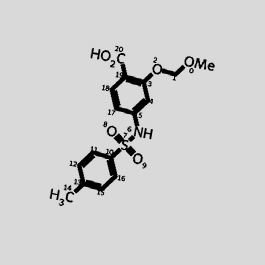 COCOc1cc(NS(=O)(=O)c2ccc(C)cc2)ccc1C(=O)O